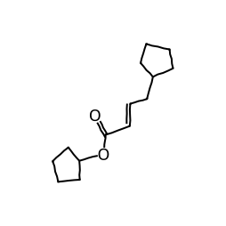 O=C(C=CCC1CCCC1)OC1CCCC1